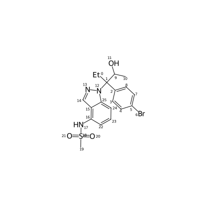 CCC(c1ccc(Br)cc1)(C(C)O)n1ncc2c(NS(C)(=O)=O)cccc21